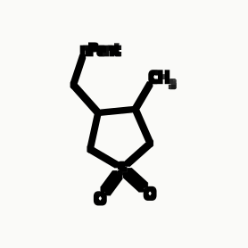 CCCCCCC1CS(=O)(=O)CC1C